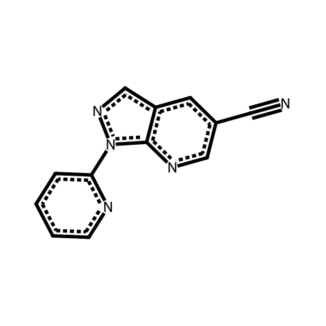 N#Cc1cnc2c(cnn2-c2ccccn2)c1